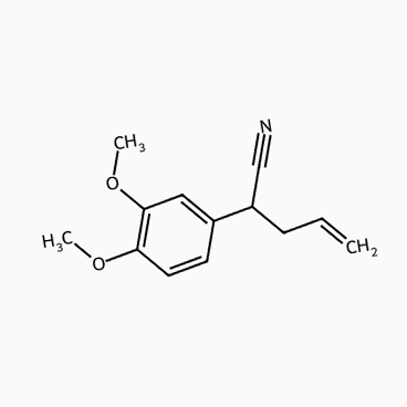 C=CCC(C#N)c1ccc(OC)c(OC)c1